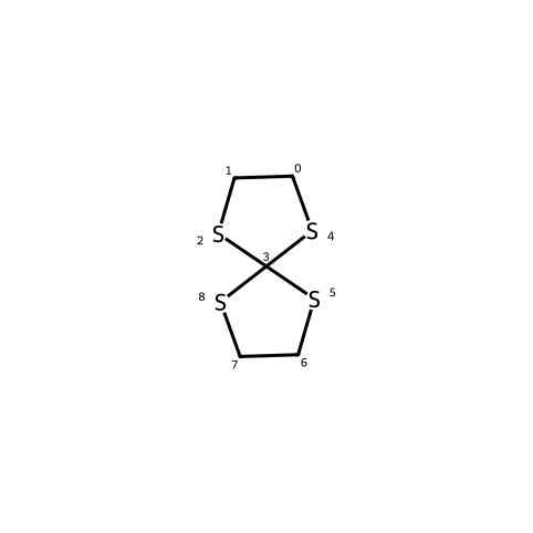 C1CSC2(S1)SCCS2